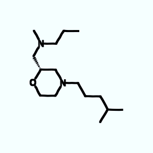 CCCN(C)C[C@@H]1CN(CCCC(C)C)CCO1